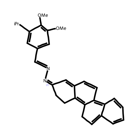 COc1cc(C=N/N=C2\C=c3ccc4c(c3CC2)CC=c2ccccc2=4)cc(C(C)C)c1OC